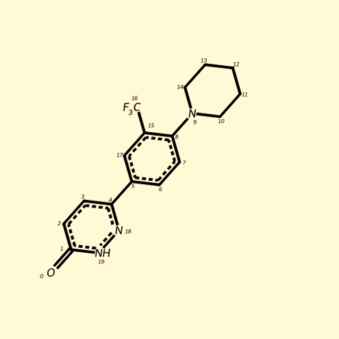 O=c1ccc(-c2ccc(N3CCCCC3)c(C(F)(F)F)c2)n[nH]1